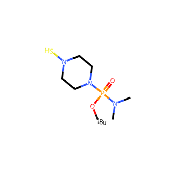 CCC(C)OP(=O)(N(C)C)N1CCN(S)CC1